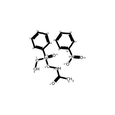 CC(=O)NO[As](=O)(OO)c1ccccc1.O=[N+]([O-])c1ccccc1